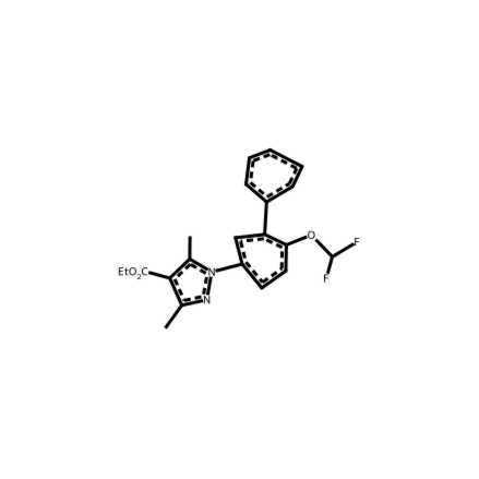 CCOC(=O)c1c(C)nn(-c2ccc(OC(F)F)c(-c3ccccc3)c2)c1C